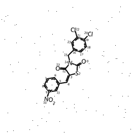 O=C1S/C(=C/c2cccc([N+](=O)[O-])c2)C(=O)N1Cc1ccc(Cl)c(Cl)c1